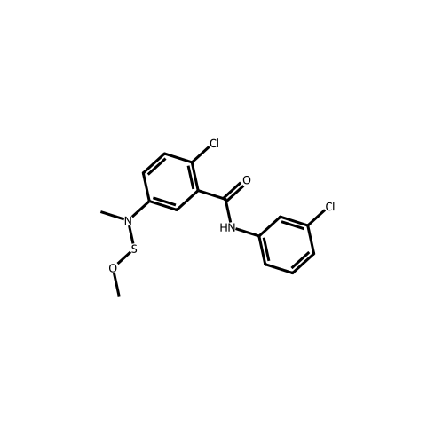 COSN(C)c1ccc(Cl)c(C(=O)Nc2cccc(Cl)c2)c1